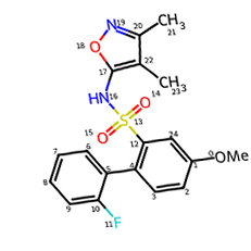 COc1ccc(-c2ccccc2F)c(S(=O)(=O)Nc2onc(C)c2C)c1